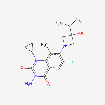 Cc1c(N2CC(O)(C(C)C)C2)c(F)cc2c(=O)n(N)c(=O)n(C3CC3)c12